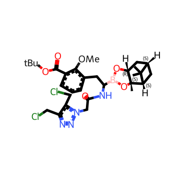 COc1c(CC(NC(=O)Cn2nnc(CCl)c2CCl)B2O[C@@H]3C[C@@H]4C[C@@H](C4(C)C)[C@]3(C)O2)cccc1C(=O)OC(C)(C)C